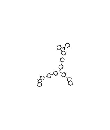 c1ccc(-n2c3ccccc3c3cc(-c4ccc(-c5ccc(N(c6ccc(-c7ccc(-c8ccc9sc%10ccccc%10c9c8)cc7)cc6)c6ccc(-c7ccc8ccccc8c7)cc6)cc5)cc4)ccc32)cc1